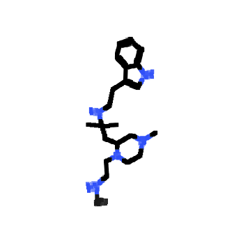 CN1CCN(CCNC(C)(C)C)C(CC(C)(C)NCCc2c[nH]c3ccccc23)C1